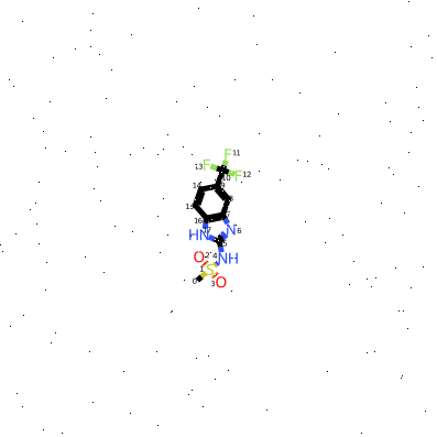 CS(=O)(=O)Nc1nc2cc(C(F)(F)F)ccc2[nH]1